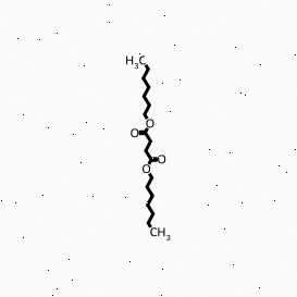 CCCCCCCOC(=O)CCC(=O)OCCCCCCC